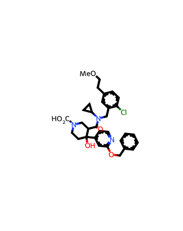 COCCc1ccc(Cl)c(CN(C(=O)C2CN(C(=O)O)CCC2(O)c2ccnc(OCc3ccccc3)c2)C2CC2)c1